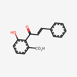 O=C(O)c1cccc(O)c1C(=O)C=Cc1ccccc1